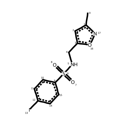 Cc1cc(CNS(=O)(=O)c2ccc(I)cc2)on1